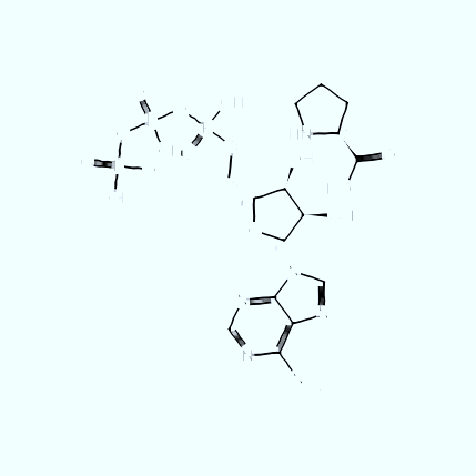 Nc1ncnc2c1ncn2[C@@H]1O[C@H](COP(=O)(O)OP(=O)(O)OP(=O)(O)O)[C@@H](O)[C@H]1O.O=C(O)[C@@H]1CCCN1